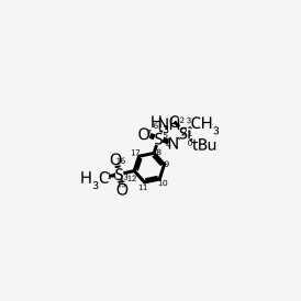 CC(C)(C)[Si](C)(C)N=S(N)(=O)c1cccc(S(C)(=O)=O)c1